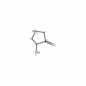 O=C1CNCC1O